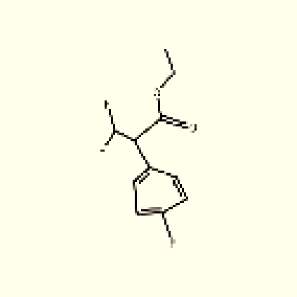 CCOC(=O)C(c1ccc(F)cc1)C(F)F